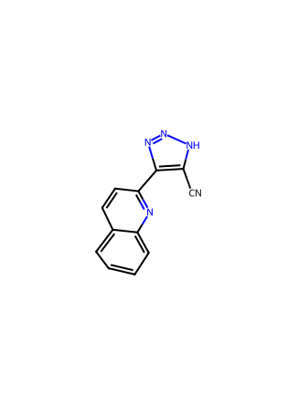 N#Cc1[nH]nnc1-c1ccc2ccccc2n1